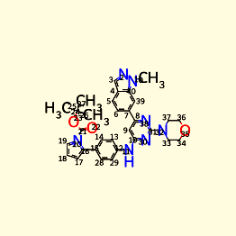 Cn1ncc2ccc(-c3cc(Nc4ccc(-c5cccn5C(=O)OC(C)(C)C)cc4)nc(N4CCOCC4)n3)cc21